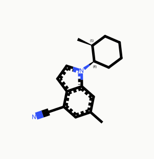 Cc1cc(C#N)c2ccn([C@@H]3CCCC[C@@H]3C)c2c1